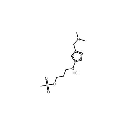 CN(C)Cc1cc(OCCCOS(C)(=O)=O)cs1.Cl